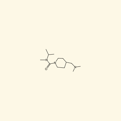 CC(C)N(C)C(=O)N1CCC(CN(C)C)CC1